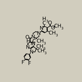 COC(=O)c1c(C)cc(N2CCN(C(=O)c3cnc4c(n3)C(C)(C)CN4c3ccc(F)c(F)c3)C(C)(C)C2)nc1C